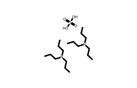 CCCN(CCC)CCC.CCCN(CCC)CCC.O=S(=O)(O)O